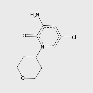 Nc1cc(Cl)cn(C2CCOCC2)c1=O